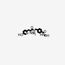 NC(Cc1ccc(O)cn1)C(=O)NCc1ccc(C(=O)NO)cc1